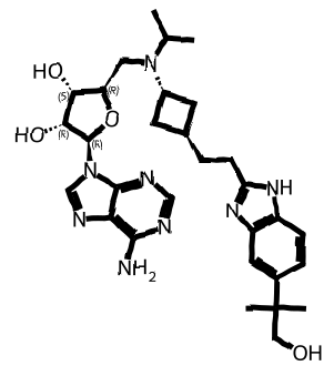 CC(C)N(C[C@H]1O[C@@H](n2cnc3c(N)ncnc32)[C@H](O)[C@@H]1O)[C@H]1C[C@H](CCc2nc3cc(C(C)(C)CO)ccc3[nH]2)C1